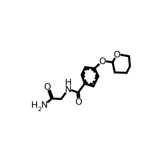 NC(=O)CNC(=O)c1ccc(OC2CCCCO2)cc1